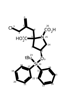 C=C(CCl)CC1(C(=O)O)C[C@H](O[Si](c2ccccc2)(c2ccccc2)C(C)(C)C)CN1C(=O)O